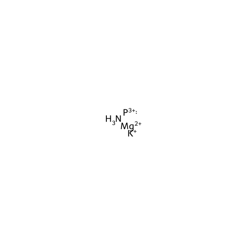 N.[K+].[Mg+2].[P+3]